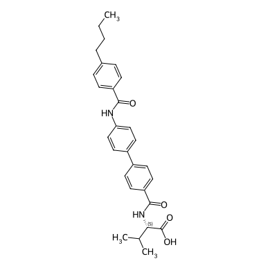 CCCCc1ccc(C(=O)Nc2ccc(-c3ccc(C(=O)N[C@H](C(=O)O)C(C)C)cc3)cc2)cc1